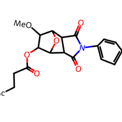 COC1C(OC(=O)CCC(C)=O)C2OC1C1C(=O)N(c3ccccc3)C(=O)C21